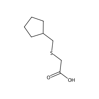 O=C(O)CSCC1CCCC1